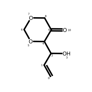 C=CC(O)C1OCOCC1=O